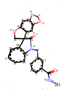 CCNC(=O)c1cccc(CN2C(=O)C3(COc4cc5c(cc43)OCO5)c3ccccc32)c1